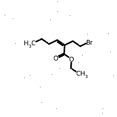 CCCC=C(CCBr)C(=O)OCC